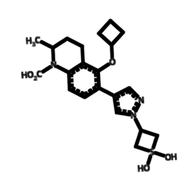 CC1CCc2c(ccc(-c3cnn(C4CS(O)(O)C4)c3)c2OC2CCC2)N1C(=O)O